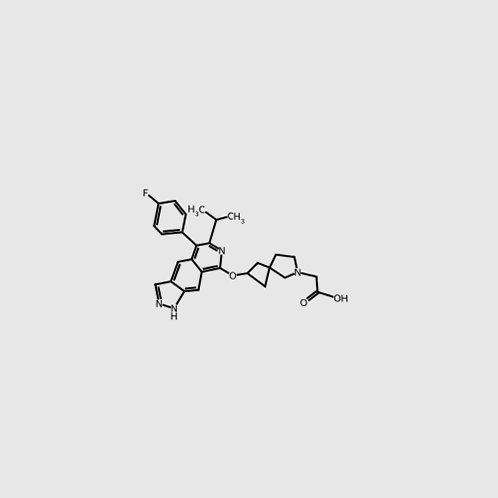 CC(C)c1nc(OC2CC3(CCN(CC(=O)O)C3)C2)c2cc3[nH]ncc3cc2c1-c1ccc(F)cc1